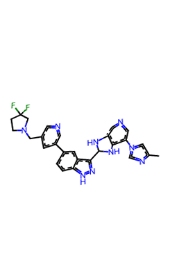 Cc1cn(-c2cncc3c2NC(c2n[nH]c4ccc(-c5cncc(CN6CCC(F)(F)C6)c5)cc24)N3)cn1